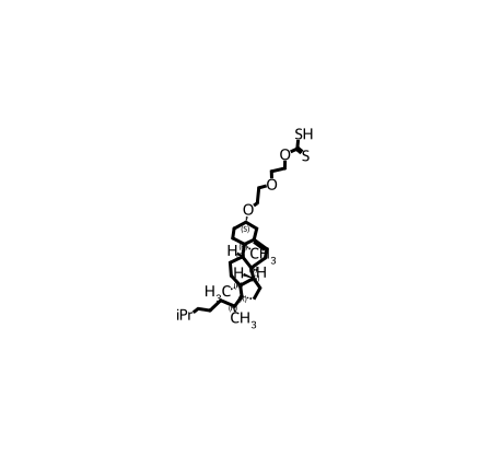 CC(C)CCC[C@@H](C)[C@H]1CC[C@H]2[C@@H]3CC=C4C[C@@H](OCCOCCOC(=S)S)CC[C@]4(C)[C@H]3CC[C@]12C